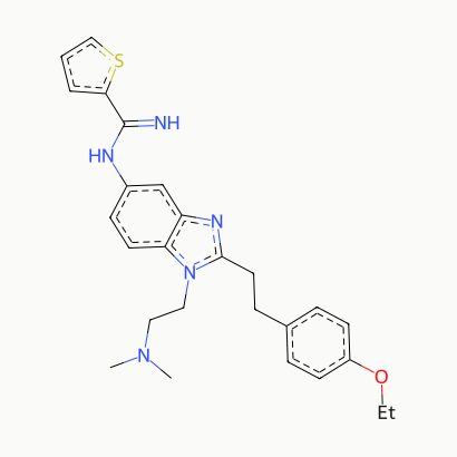 CCOc1ccc(CCc2nc3cc(NC(=N)c4cccs4)ccc3n2CCN(C)C)cc1